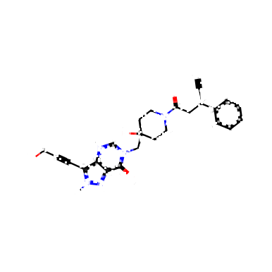 C#C[C@H](CC(=O)N1CCC(O)(Cn2cnc3c(C#CCO)n(C)nc3c2=O)CC1)c1ccccc1